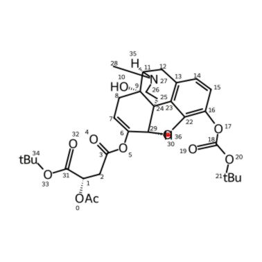 CC(=O)O[C@@H](CC(=O)OC1=CC[C@@]2(O)[C@H]3Cc4ccc(OC(=O)OC(C)(C)C)c5c4[C@@]2(CCN3C)[C@H]1O5)C(=O)OC(C)(C)C